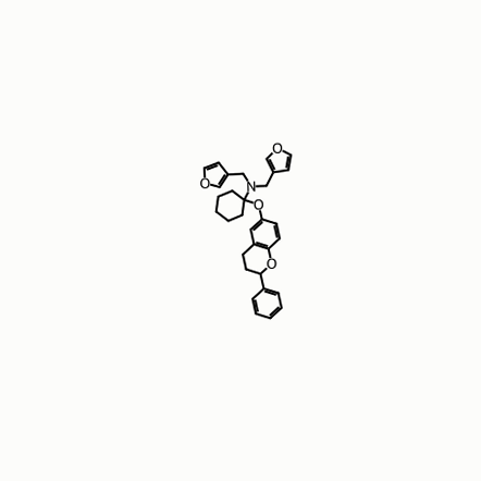 c1ccc(C2CCc3cc(OC4(N(Cc5ccoc5)Cc5ccoc5)CCCCC4)ccc3O2)cc1